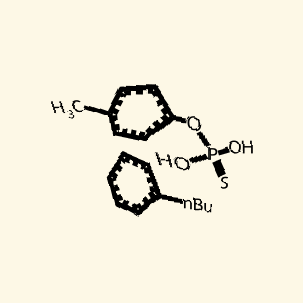 CCCCc1ccccc1.Cc1ccc(OP(O)(O)=S)cc1